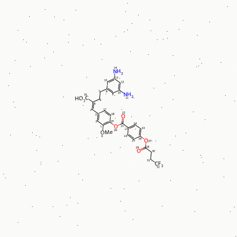 COc1cc(/C=C(\CCc2cc(N)cc(N)c2)C(=O)O)ccc1OC(=O)c1ccc(OC(=O)CCC(F)(F)F)cc1